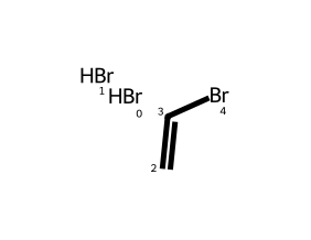 Br.Br.C=CBr